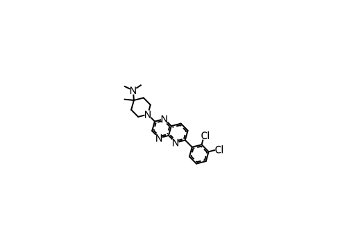 CN(C)C1(C)CCN(c2cnc3nc(-c4cccc(Cl)c4Cl)ccc3n2)CC1